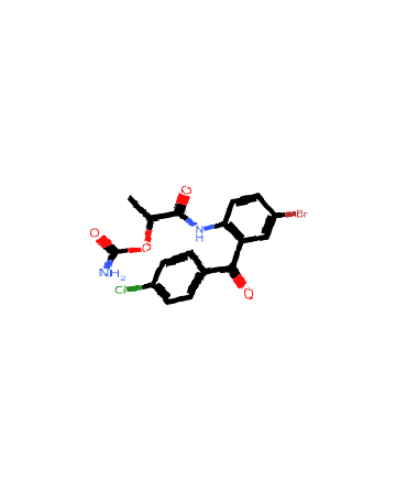 CC(OC(N)=O)C(=O)Nc1ccc(Br)cc1C(=O)c1ccc(Cl)cc1